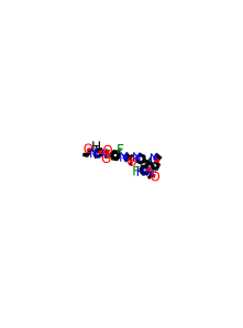 C=CC(=O)N1CC2C[C@H]1CN2S(=O)(=O)c1ccc(N2CC(CN3CCC([C@@](CN4CCC4)(c4cccc(F)c4)[C@H]4CCC[C@@H]4NC(C)=O)CC3)(OC)C2)c(F)c1